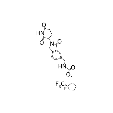 O=C1CCC(N2Cc3ccc(CNC(=O)OCC4CCC[C@H]4C(F)(F)F)cc3C2=O)C(=O)N1